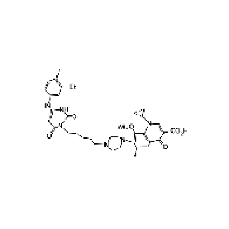 CCc1cc(Nc2cc(=O)n(CCCCCN3CCN(c4c(F)cc5c(=O)c(C(=O)O)cn(C6CC6)c5c4OC)CC3)c(=O)[nH]2)ccc1C